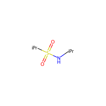 CC(C)NS(=O)(=O)C(C)C